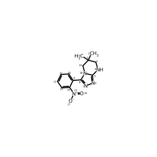 CC1(C)CNc2nnc(-c3ccccc3[N+](=O)[O-])n2C1